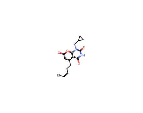 CC/C=C\CCc1cc(=O)oc2c1c(=O)[nH]c(=O)n2CC1CC1